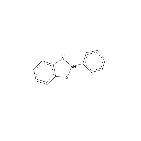 c1ccc([SH]2Nc3ccccc3S2)cc1